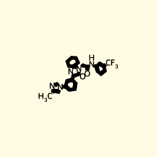 Cc1cn(-c2cccc(C3=NC4(CCCCC4)N(CC(=O)Nc4cccc(C(F)(F)F)c4)C3=O)c2)cn1